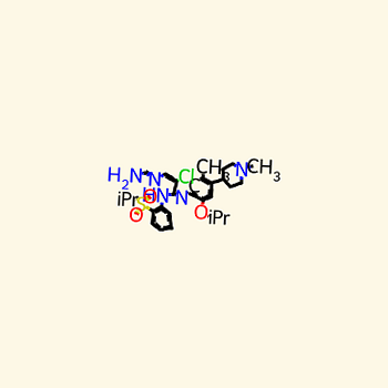 Cc1cc(\N=C(Nc2ccccc2S(=O)(=O)C(C)C)/C(Cl)=C\N=C\N)c(OC(C)C)cc1C1CCN(C)CC1